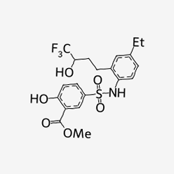 CCc1ccc(NS(=O)(=O)c2ccc(O)c(C(=O)OC)c2)c(CCC(O)C(F)(F)F)c1